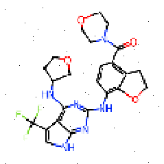 O=C(c1ccc(Nc2nc(N[C@H]3CCOC3)c3c(C(F)(F)F)c[nH]c3n2)c2c1CCO2)N1CCOCC1